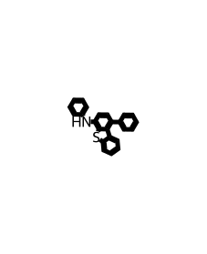 c1ccc(Nc2ccc(-c3ccccc3)c3c2sc2ccccc23)cc1